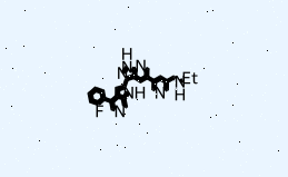 CCNCc1cncc(-c2cnc3[nH]nc(-c4cc5c(-c6ccccc6F)cncc5[nH]4)c3c2)c1